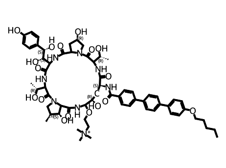 CCCCCOc1ccc(-c2ccc(-c3ccc(C(=O)N[C@H]4C[C@@H](O)C(OCC[N+](C)(C)C)NC(=O)C5[C@@H](O)[C@@H](C)CN5C(=O)C([C@@H](C)O)NC(=O)C([C@H](O)[C@@H](O)c5ccc(O)cc5)NC(=O)C5C[C@@H](O)CN5C(=O)C([C@@H](C)O)NC4=O)cc3)cc2)cc1